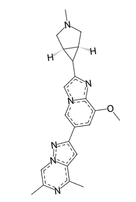 COc1cc(-c2cc3c(C)nc(C)cn3n2)cn2cc(C3[C@H]4CN(C)C[C@@H]34)nc12